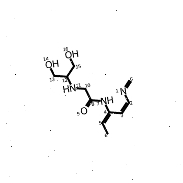 C=N/C=C\C(=C/C)NC(=O)CNC(CO)CO